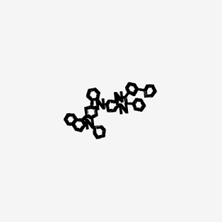 c1ccc(-c2cccc(-c3nc4cc(-n5c6ccccc6c6cc7c8c9ccccc9ccc8n(-c8ccccc8)c7cc65)ccc4nc3-c3ccccc3)c2)cc1